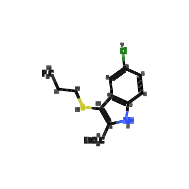 CCOC(=O)c1[nH]c2ccc(Cl)cc2c1SCCC(F)(F)F